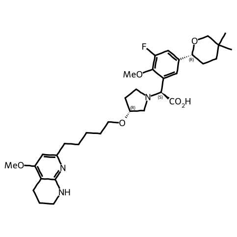 COc1cc(CCCCCO[C@@H]2CCN([C@H](C(=O)O)c3cc([C@H]4CCC(C)(C)CO4)cc(F)c3OC)C2)nc2c1CCCN2